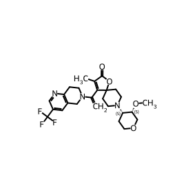 C=C(C1=C(C)C(=O)OC12CCN([C@H]1CCOC[C@H]1OC)CC2)N1CCc2ncc(C(F)(F)F)cc2C1